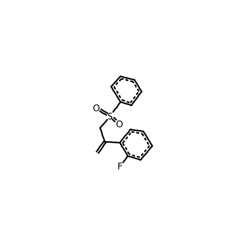 C=C(CS(=O)(=O)c1ccccc1)c1ccccc1F